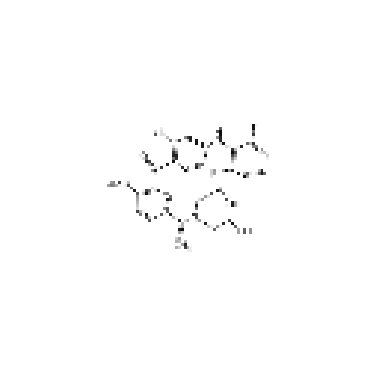 C=C(c1ccc(OC)c(C(=O)c2ccc(Nc3c(F)cccc3F)cc2Cl)c1)N(CCO)CCO